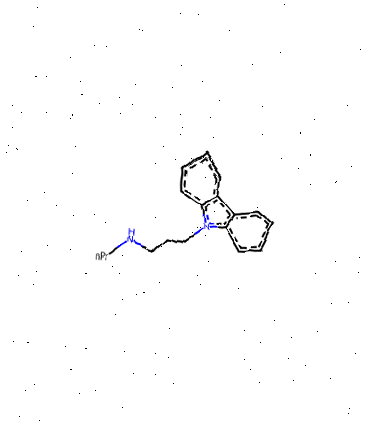 CCCNCCCn1c2ccccc2c2ccccc21